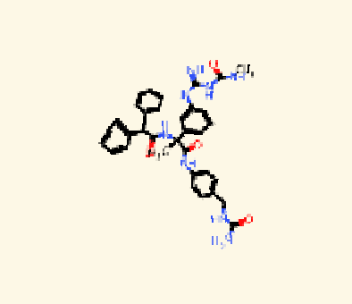 CNC(=O)NC(=N)Nc1cccc(C(C)(NC(=O)C(c2ccccc2)c2ccccc2)C(=O)Nc2ccc(CNC(N)=O)cc2)c1